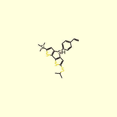 C=Cc1ccc([SiH]2c3cc(SC(C)C)sc3-c3sc([Si](C)(C)C)cc32)cc1